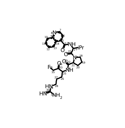 CC(C)C(NC(=O)c1ccnc2ccccc12)C(=O)N1CCCC1C(=O)NC(CCCNC(=N)N)C(=O)CF